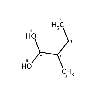 [CH2]CC(C)[C](O)O